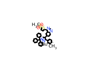 Cc1[c]ccc(-c2nn(C(c3ccccc3)(c3ccccc3)c3ccccc3)cc2-c2ccc3ncnc(-c4ccc(S(C)(=O)=O)s4)c3c2)c1C(C)(C)C